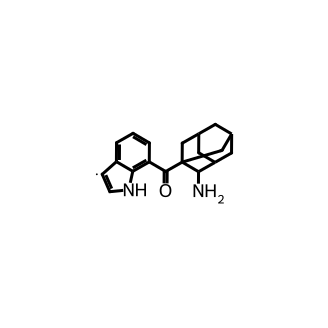 NC1C2CC3CC(C2)CC1(C(=O)c1cccc2[c]c[nH]c12)C3